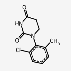 Cc1cccc(Cl)c1N1CCC(=O)NC1=O